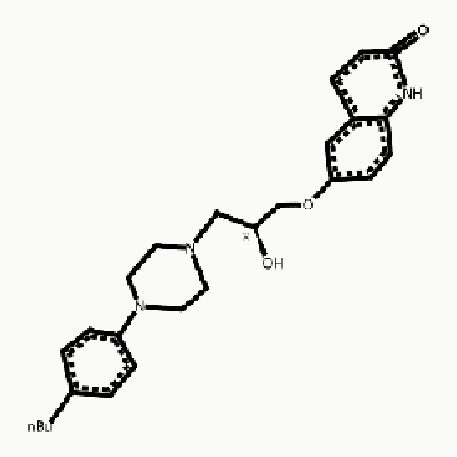 CCCCc1ccc(N2CCN(C[C@H](O)COc3ccc4[nH]c(=O)ccc4c3)CC2)cc1